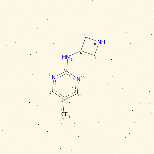 FC(F)(F)c1cnc(NC2CNC2)nc1